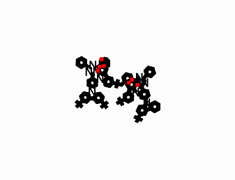 CC(C)(C)c1ccc2c(c1)c1ccccc1n2-c1ccc(-c2nc(-c3ccccc3)nc(-c3cccc(CC(C)(C)c4ccc5c(c4)c4cc(C(C)(C)C)ccc4n5-c4cc(-n5c6ccc(C(C)(C)C)cc6c6cc(C(C)(C)C)ccc65)ccc4-c4nc(-c5ccccc5)nc(-c5ccccc5)n4)c3)n2)c(-n2c3ccccc3c3cc(C(C)(C)C)ccc32)c1